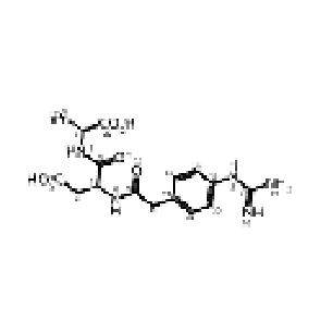 CC(C)[C@H](NC(=O)[C@H](CC(=O)O)NC(=O)Cc1ccc(NC(=N)N)cc1)C(=O)O